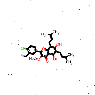 COc1c(-c2ccc(Cl)c(CF)c2)oc2c(CC=C(C)C)c(O)c(CC=C(C)C)c(O)c2c1=O